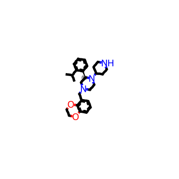 CC(C)c1ccccc1[C@@H]1CN(Cc2cccc3c2OCCO3)CCN1C1CCNCC1